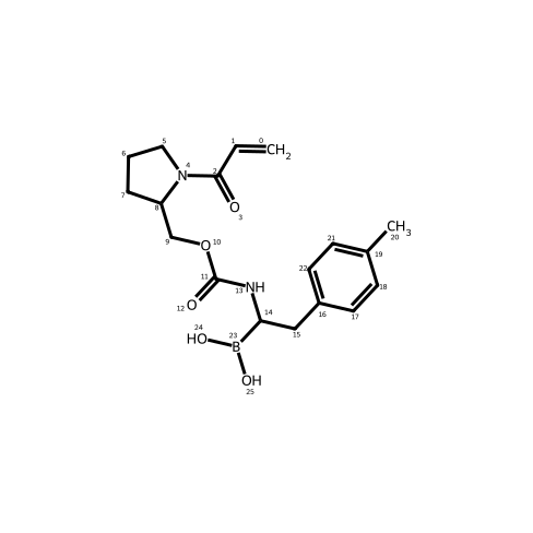 C=CC(=O)N1CCCC1COC(=O)NC(Cc1ccc(C)cc1)B(O)O